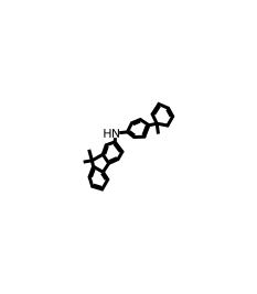 CC1(c2ccc(Nc3ccc4c(c3)C(C)(C)c3ccccc3-4)cc2)C=CC=CC1